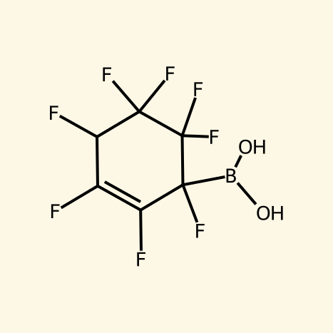 OB(O)C1(F)C(F)=C(F)C(F)C(F)(F)C1(F)F